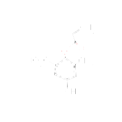 C=CC(=O)Oc1c(C)cc(C)cc1C(=O)O